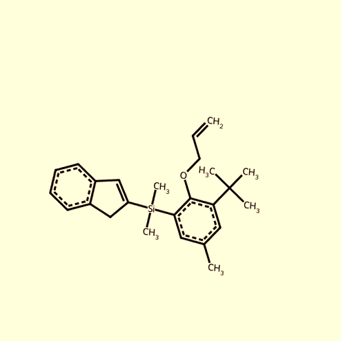 C=CCOc1c(C(C)(C)C)cc(C)cc1[Si](C)(C)C1=Cc2ccccc2C1